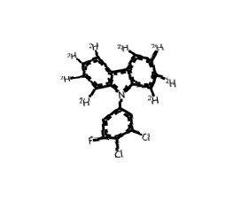 [2H]c1c([2H])c([2H])c2c(c1[2H])c1c([2H])c([2H])c([2H])c([2H])c1n2-c1cc(F)c(Cl)c(Cl)c1